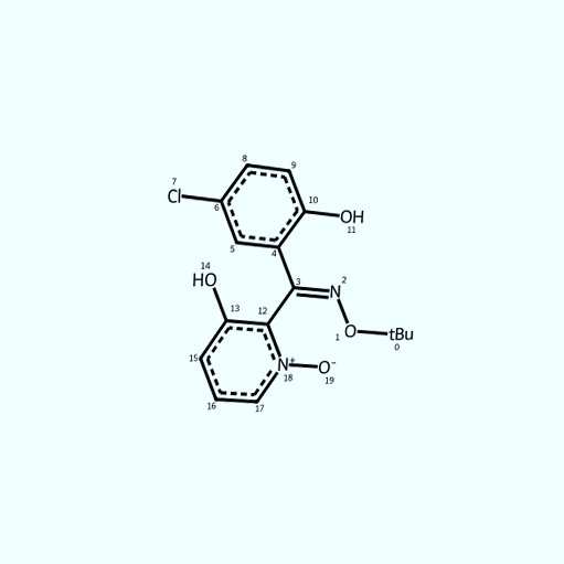 CC(C)(C)ON=C(c1cc(Cl)ccc1O)c1c(O)ccc[n+]1[O-]